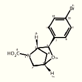 O=C(O)N1C[C@@H]2C[C@H]1[C@@H](c1ccc(Br)cc1)O2